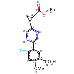 COc1cc(F)c(-c2cnc([C@H]3CC3C(=O)OC(C)(C)C)cn2)cc1C(=O)O